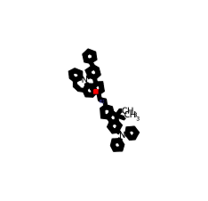 CCC1(CC)c2cc(/C=C/c3ccc(-c4ccc(-c5ccccc5)cc4N4c5ccccc5C=Cc5ccccc54)cc3)ccc2-c2ccc(N(c3ccccc3)c3ccccc3)cc21